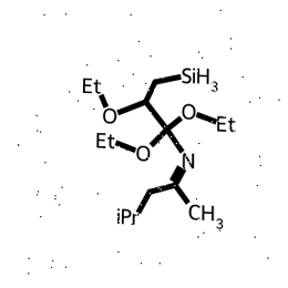 CCOC(C[SiH3])C(N=C(C)CC(C)C)(OCC)OCC